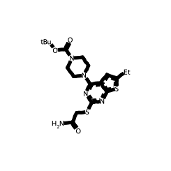 CCc1cc2c(N3CCN(C(=O)OC(C)(C)C)CC3)nc(SCC(N)=O)nc2s1